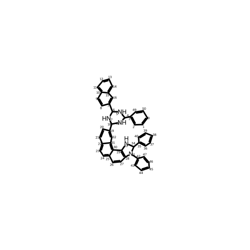 c1ccc(C2NC(c3ccc4ccccc4c3)NC(c3ccc4ccc5ccc6c(c5c4c3)NC(c3ccccc3)N6c3ccccc3)N2)cc1